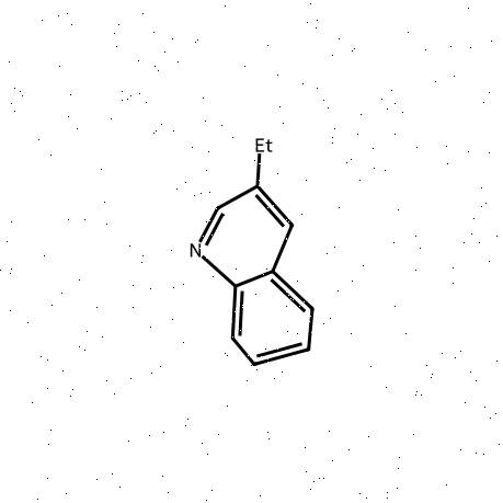 [CH2]Cc1cnc2ccccc2c1